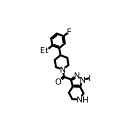 CCc1ccc(F)cc1C1CCN(C(=O)c2nn(I)c3c2CCNC3)CC1